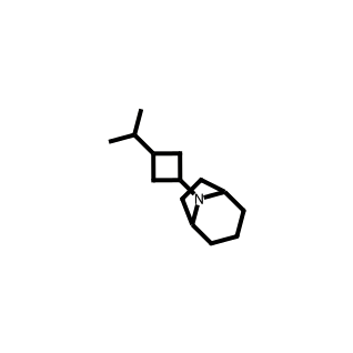 CC(C)C1CC(N2C3CCCC2CC3)C1